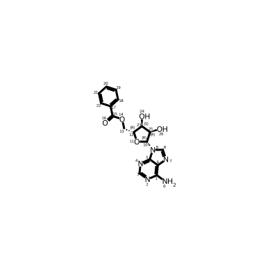 Nc1ncnc2c1ncn2[C@@H]1O[C@H](COC(=O)c2ccccc2)[C@@H](O)[C@H]1O